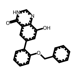 O=c1[nH]cnc2c(O)cc(-c3ccccc3OCc3ccccc3)cc12